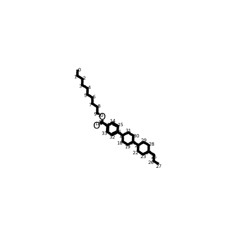 CCCCCCCCCCOC(=O)c1ccc(C2CCC(C3CCC(CCC)CC3)CC2)cc1